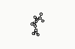 c1ccc(-c2cc(-c3ccccc3)cc(-n3c4ccccc4c4cc(-n5c6ccccc6c6cc(-c7ccc8c(c7)c7ccccc7n8-c7ccccc7)ccc65)ccc43)c2)cc1